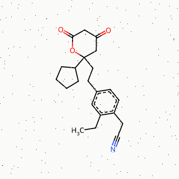 CCc1cc(CCC2(C3CCCC3)CC(=O)CC(=O)O2)ccc1CC#N